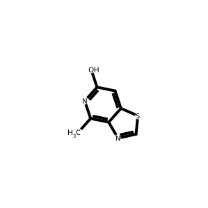 Cc1nc(O)cc2scnc12